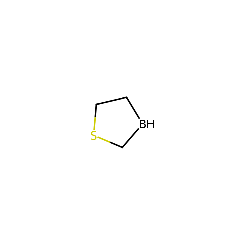 B1CCSC1